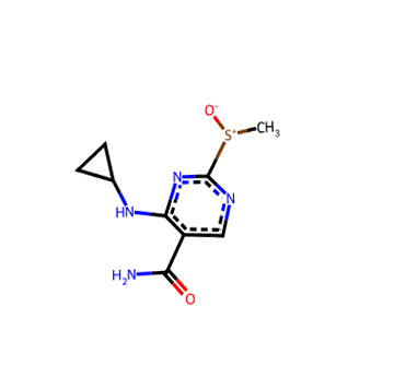 C[S+]([O-])c1ncc(C(N)=O)c(NC2CC2)n1